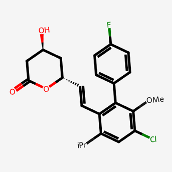 COc1c(Cl)cc(C(C)C)c(C=C[C@H]2C[C@H](O)CC(=O)O2)c1-c1ccc(F)cc1